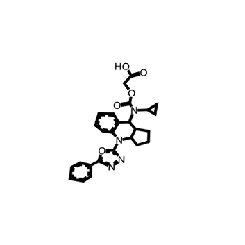 O=C(O)COC(=O)N(C1CC1)C1c2ccccc2N(c2nnc(-c3ccccc3)o2)C2CCCC21